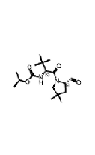 CC(C)OC(=O)N[C@H](C(=O)N1CC(C)(C)C[C@H]1C=O)C(C)(C)C